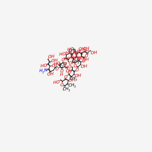 CC1C(O)[C@H](O[C@@H]2OC(CO)[C@H](O)C(O[C@]3(C(=O)O)C[C@@H](O)[C@@H](N)C([C@H](O)[C@H](O)CO)O3)[C@@H]2O)[C@H](CO)O[C@H]1O[C@@H]1C(O)[C@H](O)C(CO)O[C@@H]1OCC1O[C@@H](O[C@@H]2C(CO)O[C@@H](O[C@@H]3C(CO)O[C@@H](C)[C@@H](C)C3O)[C@@H](C)C2O)C(O)C(O[C@H]2O[C@H](CO)[C@@H](O)C(O)C2O[C@@H]2OC(CO)[C@@H](O)C(O)[C@@H]2C)[C@@H]1O